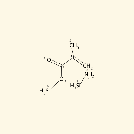 C=C(C)C(=O)O[SiH3].N[SiH3]